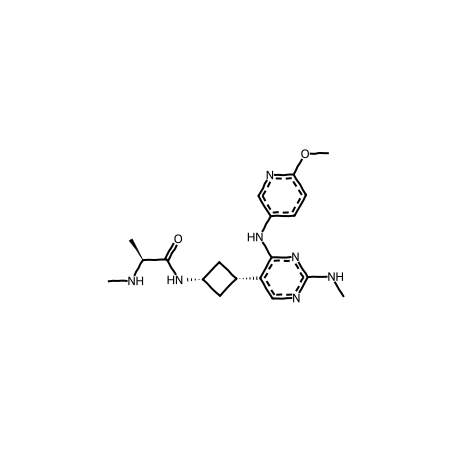 CNc1ncc([C@H]2C[C@@H](NC(=O)[C@H](C)NC)C2)c(Nc2ccc(OC)nc2)n1